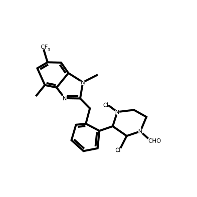 Cc1cc(C(F)(F)F)cc2c1nc(Cc1ccccc1C1C(Cl)N(C=O)CCN1Cl)n2C